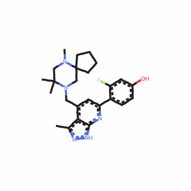 Cc1n[nH]c2nc(-c3ccc(O)cc3F)cc(CN3CC4(CCCC4)N(C)CC3(C)C)c12